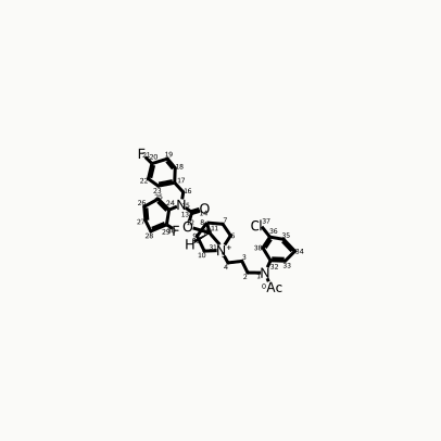 CC(=O)N(CCC[N+]12CCC(CC1)[C@@H](OC(=O)N(Cc1ccc(F)cc1)c1ccccc1F)C2)c1cccc(Cl)c1